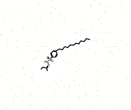 CCCCCCCCCCCCc1ccc(S(=O)(=O)N/N=C(/C)CC)cc1